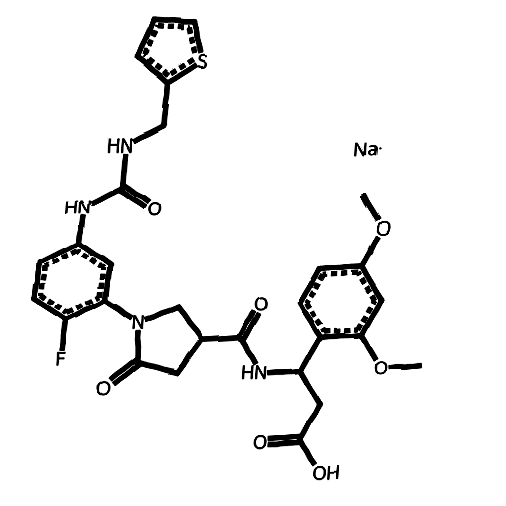 COc1ccc(C(CC(=O)O)NC(=O)C2CC(=O)N(c3cc(NC(=O)NCc4cccs4)ccc3F)C2)c(OC)c1.[Na]